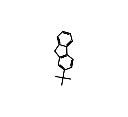 CC(C)(C)c1[c]c2c(cc1)-c1ccccc1C2